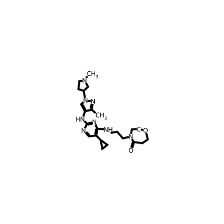 Cc1nn(C2CCN(C)C2)cc1Nc1ncc(C2CC2)c(NCCCN2CCOCCC2=O)n1